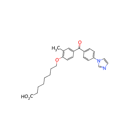 Cc1cc(C(=O)c2ccc(-n3ccnc3)cc2)ccc1OCCCCCCCC(=O)O